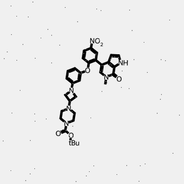 Cn1cc(-c2cc([N+](=O)[O-])ccc2Oc2cccc(N3CC(N4CCN(C(=O)OC(C)(C)C)CC4)C3)c2)c2cc[nH]c2c1=O